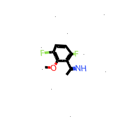 COc1c(F)ccc(F)c1C(C)=N